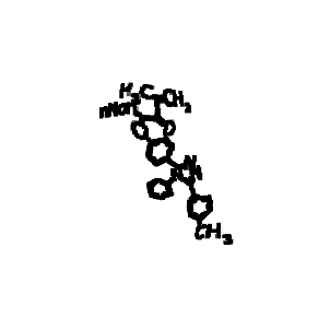 C=C(C)C(=O)C(CCCCCCCCC)Oc1ccc(-c2nnc(-c3ccc(C)cc3)n2-c2ccccc2)cc1